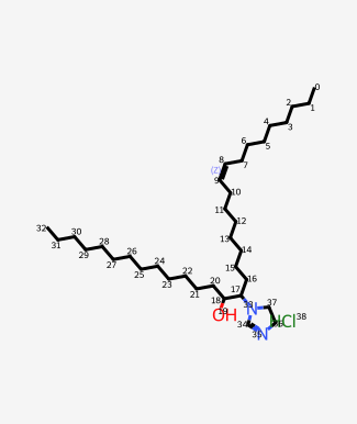 CCCCCCCC/C=C\CCCCCCCC(C(O)CCCCCCCCCCCCC)N1C=NCC1.Cl